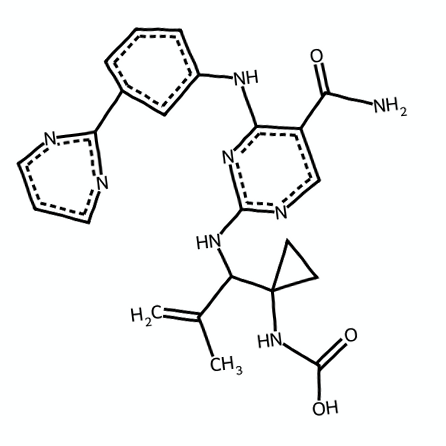 C=C(C)C(Nc1ncc(C(N)=O)c(Nc2cccc(-c3ncccn3)c2)n1)C1(NC(=O)O)CC1